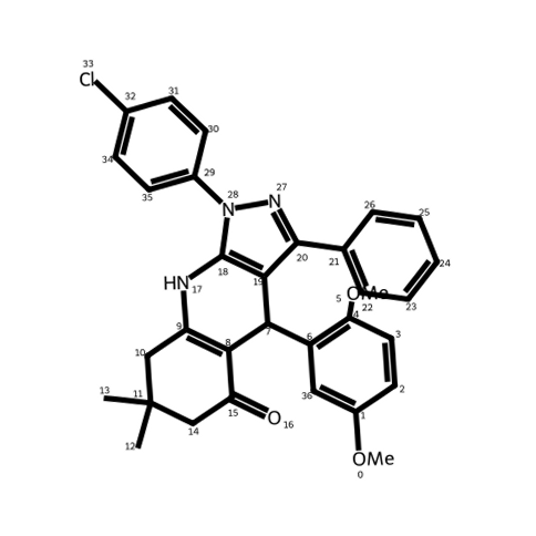 COc1ccc(OC)c(C2C3=C(CC(C)(C)CC3=O)Nc3c2c(-c2ccccc2)nn3-c2ccc(Cl)cc2)c1